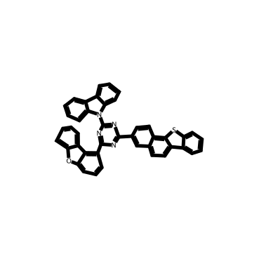 c1ccc2c(c1)oc1cccc(-c3nc(-c4ccc5c(ccc6c7ccccc7sc56)c4)nc(-n4c5ccccc5c5ccccc54)n3)c12